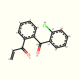 C=CC(=O)c1ccccc1C(=O)c1ccccc1Cl